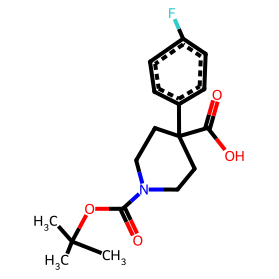 CC(C)(C)OC(=O)N1CCC(C(=O)O)(c2ccc(F)cc2)CC1